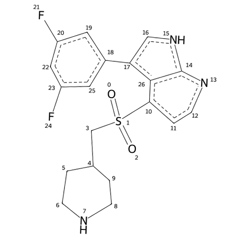 O=S(=O)(CC1CCNCC1)c1ccnc2[nH]cc(-c3cc(F)cc(F)c3)c12